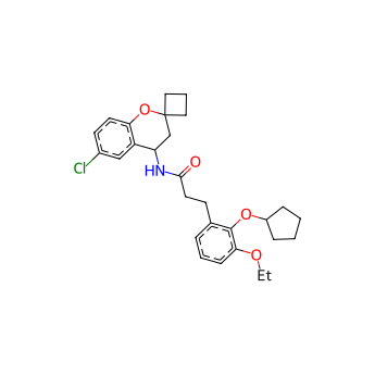 CCOc1cccc(CCC(=O)NC2CC3(CCC3)Oc3ccc(Cl)cc32)c1OC1CCCC1